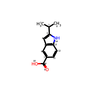 CC(C)c1cc2cc(C(=O)O)ccc2[nH]1